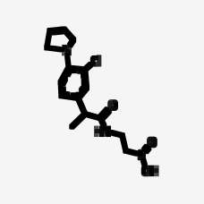 CC(C(=O)NCCS(=O)O)c1ccc(N2CC=CC2)c(Cl)c1